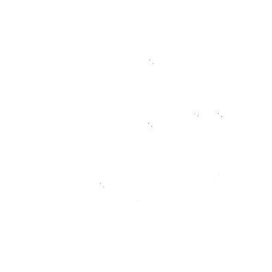 Cc1cnn(-c2ccncc2N2CCC(C(=O)N(C)C3CCOCC3)CC2)c1